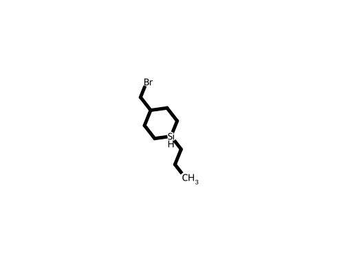 CCC[SiH]1CCC(CBr)CC1